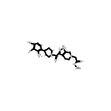 CC(C)(C)OC(=O)CN1CCc2c(C(=O)N3CCC(c4ccc(F)c(F)c4C(F)(F)F)CC3)n[nH]c2C1